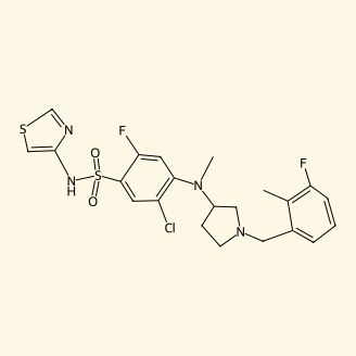 Cc1c(F)cccc1CN1CCC(N(C)c2cc(F)c(S(=O)(=O)Nc3cscn3)cc2Cl)C1